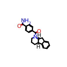 NC(=O)c1ccc(C(=O)N2CCC[C@H]3c4ccccc4C[C@H]32)cc1